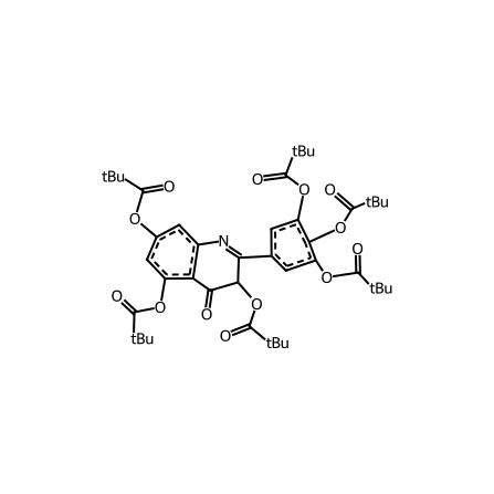 CC(C)(C)C(=O)Oc1cc2c(c(OC(=O)C(C)(C)C)c1)C(=O)C(OC(=O)C(C)(C)C)C(c1cc(OC(=O)C(C)(C)C)c(OC(=O)C(C)(C)C)c(OC(=O)C(C)(C)C)c1)=N2